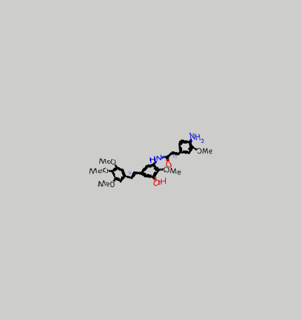 COc1cc(/C=C/C(=O)Nc2cc(/C=C/c3cc(OC)c(OC)c(OC)c3)cc(O)c2OC)ccc1N